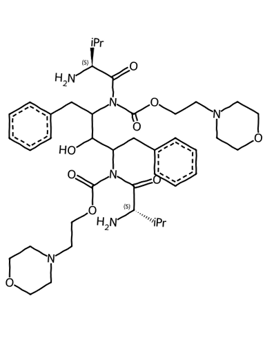 CC(C)[C@H](N)C(=O)N(C(=O)OCCN1CCOCC1)C(Cc1ccccc1)C(O)C(Cc1ccccc1)N(C(=O)OCCN1CCOCC1)C(=O)[C@@H](N)C(C)C